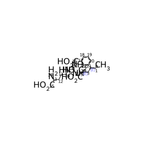 C/C=C/C=C/C(=O)O.N=C(N)NCCCC(N)C(=O)O.O=C(O)c1ccccc1C(=O)O